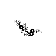 COC(=O)c1ccc2c(=O)n(CCC3NCC4CCc5c(OC)cccc5C43)c(=O)[nH]c2c1